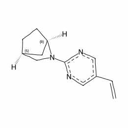 C=Cc1cnc(N2C[C@H]3CC[C@@H]2C3)nc1